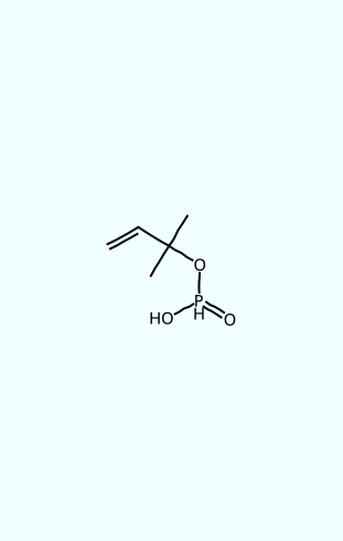 C=CC(C)(C)O[PH](=O)O